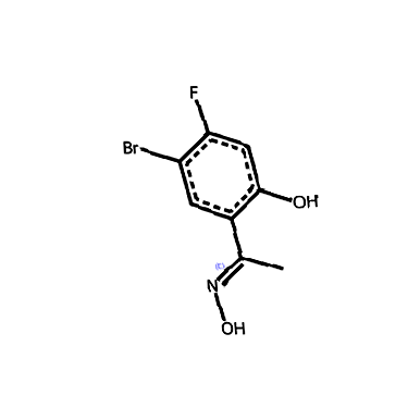 C/C(=N\O)c1cc(Br)c(F)cc1O